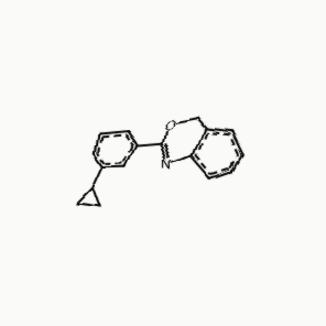 c1cc(C2=Nc3ccccc3CO2)cc(C2CC2)c1